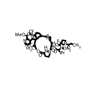 C=CC(=O)N1CC[C@](F)(C(=O)N(C)C(C(=O)N[C@H]2Cc3csc(n3)-c3ccc4c(c3)c(c(-c3cccnc3[C@H](C)OC)n4CC(F)(F)F)CC(C)(C)COC(=O)[C@@H]3CCCN(N3)C2=O)C(C)C)C1